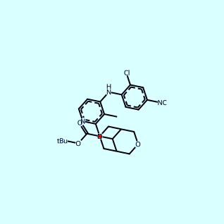 [C-]#[N+]c1ccc(Nc2ccnc(OC3C4COCC3CN(C(=O)OC(C)(C)C)C4)c2C)c(Cl)c1